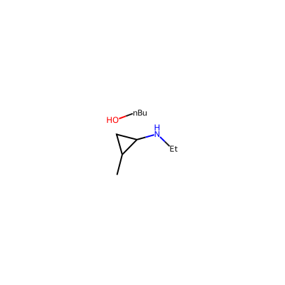 CCCCO.CCNC1CC1C